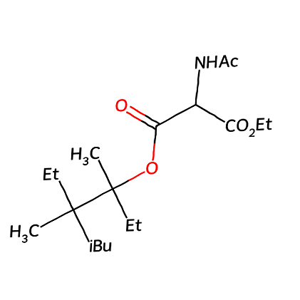 CCOC(=O)C(NC(C)=O)C(=O)OC(C)(CC)C(C)(CC)C(C)CC